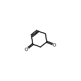 O=C1C#CCC(=O)C1